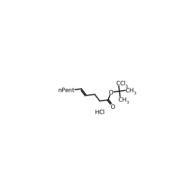 CCCCCC=CCCC(=O)OC(C)(C)C(Cl)(Cl)Cl.Cl